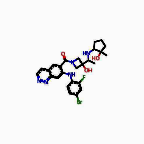 CC(NC1CCCC1(C)O)C1(O)CN(C(=O)c2cc3ccnnc3cc2Nc2ccc(Br)cc2F)C1